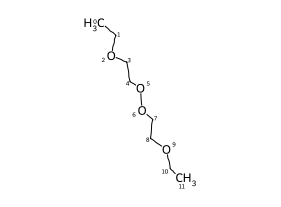 CCOCCOOCCOCC